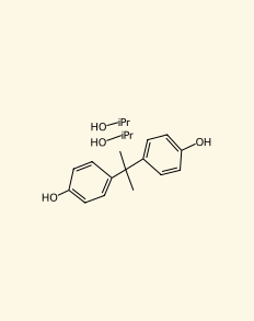 CC(C)(c1ccc(O)cc1)c1ccc(O)cc1.CC(C)O.CC(C)O